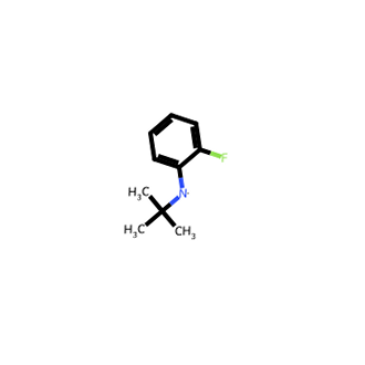 CC(C)(C)[N]c1ccccc1F